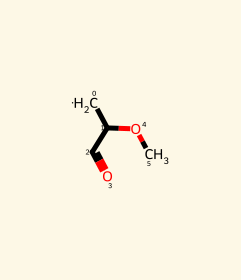 [CH2]C(C=O)OC